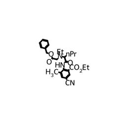 CCCC(C(=O)Nc1c(C)cc(C#N)cc1C(=O)OCC)N(CC)CC(=O)OCc1ccccc1